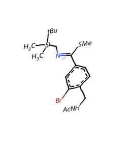 CS/C(=N\C[Si](C)(C)C(C)(C)C)c1ccc(CNC(C)=O)c(Br)c1